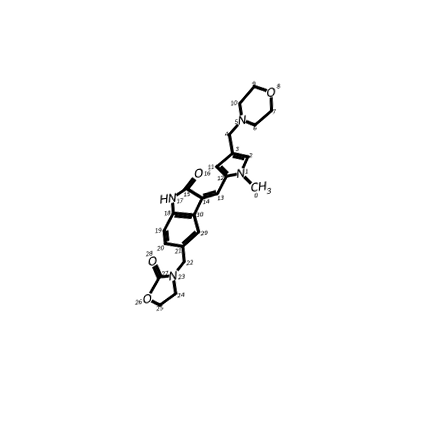 Cn1cc(CN2CCOCC2)cc1C=C1C(=O)Nc2ccc(CN3CCOC3=O)cc21